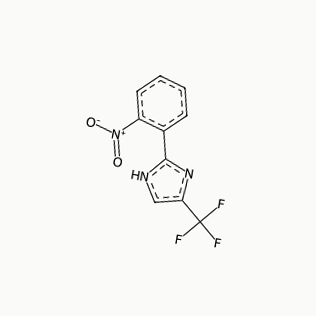 O=[N+]([O-])c1ccccc1-c1nc(C(F)(F)F)c[nH]1